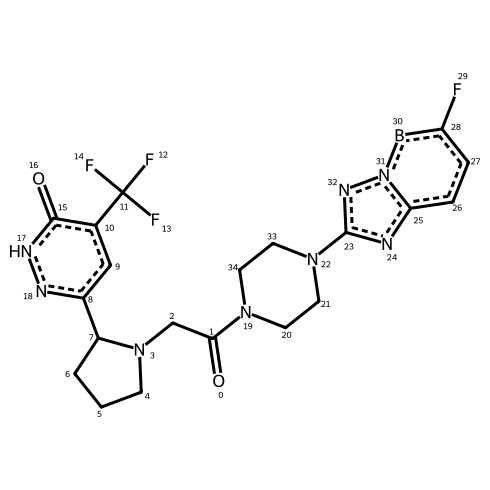 O=C(CN1CCCC1c1cc(C(F)(F)F)c(=O)[nH]n1)N1CCN(c2nc3ccc(F)bn3n2)CC1